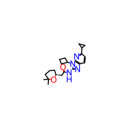 CC1(C)CCC[C@@H](CC(=O)Nc2nc3ccc(C4CC4)nc3n2C2CCC2)O1